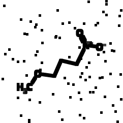 COCCC[N+](=O)[O-]